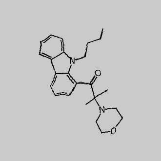 CCCCn1c2ccccc2c2cccc(C(=O)C(C)(C)N3CCOCC3)c21